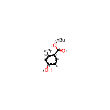 CCCCOC(=O)c1ccc(O)cc1C(C)C